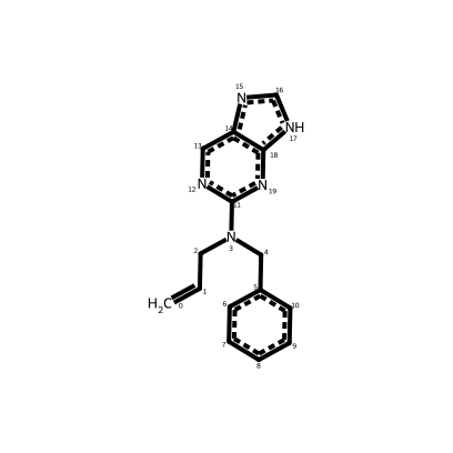 C=CCN(Cc1ccccc1)c1ncc2nc[nH]c2n1